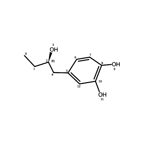 CC[C@@H](O)Cc1ccc(O)c(O)c1